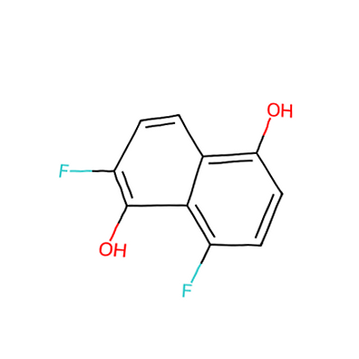 Oc1ccc(F)c2c(O)c(F)ccc12